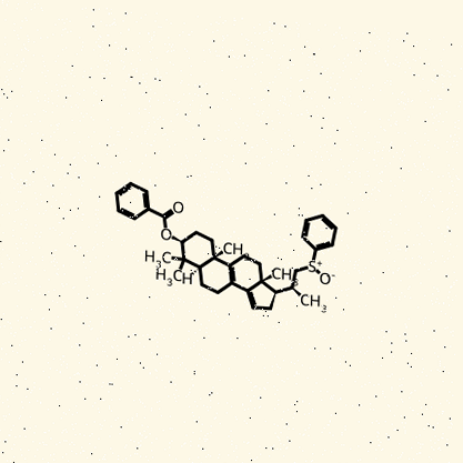 C[C@H](C[S+]([O-])c1ccccc1)[C@H]1CC=C2C3=C(CC[C@@]21C)[C@@]1(C)CC[C@H](OC(=O)c2ccccc2)C(C)(C)[C@@H]1CC3